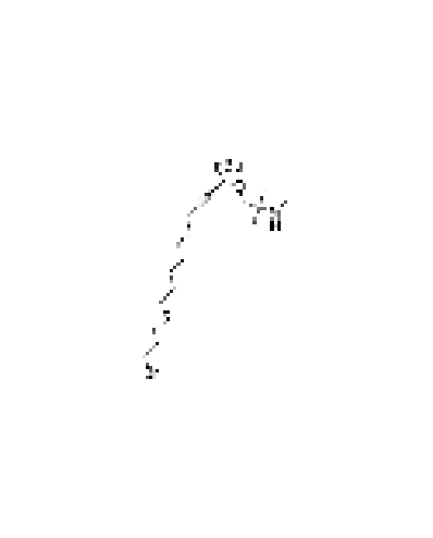 CCCC[C@H](C#CCCCCCCCSCCCBr)OCC(C)(C)[SiH](C)C